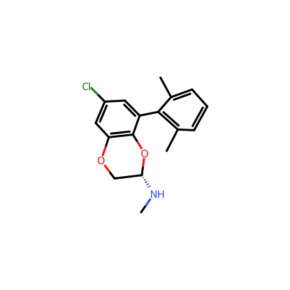 CN[C@@H]1COc2cc(Cl)cc(-c3c(C)cccc3C)c2O1